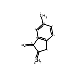 C=C1Cc2ccc(C)cc2C1=O